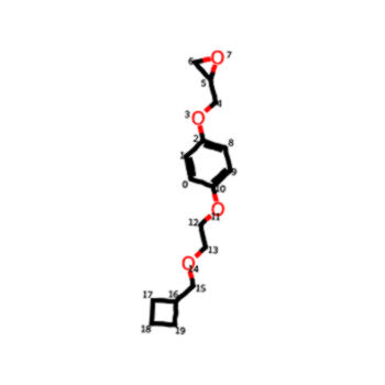 c1cc(OCC2CO2)ccc1OCCOCC1CCC1